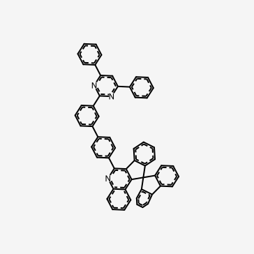 c1ccc(-c2cc(-c3ccccc3)nc(-c3cccc(-c4ccc(-c5nc6ccccc6c6c5-c5ccccc5C65c6ccccc6-c6ccccc65)cc4)c3)n2)cc1